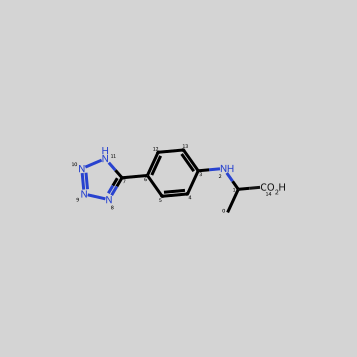 CC(Nc1ccc(-c2nnn[nH]2)cc1)C(=O)O